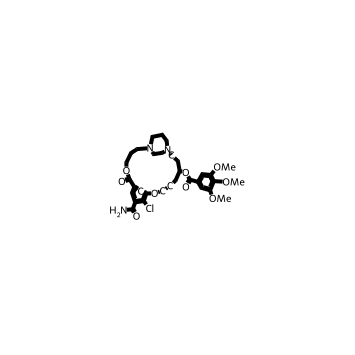 COc1cc(C(=O)OC2CCCOc3cc(cc(C(N)=O)c3Cl)C(=O)OCCCN3CCCN(CC2)CC3)cc(OC)c1OC